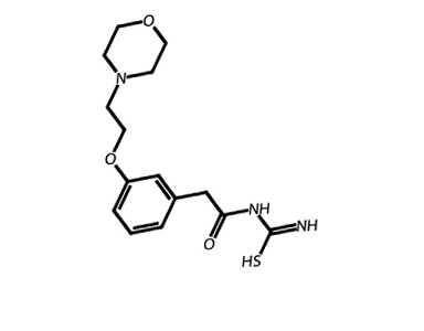 N=C(S)NC(=O)Cc1cccc(OCCN2CCOCC2)c1